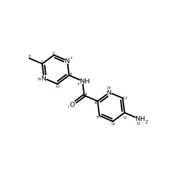 Cc1cnc(NC(=O)c2ccc(N)cn2)cn1